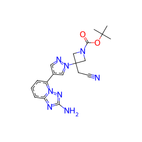 CC(C)(C)OC(=O)N1CC(CC#N)(n2cc(-c3cccc4nc(N)nn34)cn2)C1